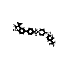 O=C1Nc2ccc(-c3ccc(S(=O)(=O)N4CCC(Nc5ccc(C(F)(F)F)cn5)CC4)cc3)cc2C12CC2